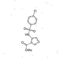 COC(=O)c1cscc1NS(=O)(=O)c1ccc(Cl)cc1